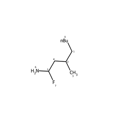 CCCCCC(C)CC(N)F